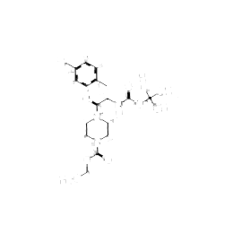 CCOC(=O)N1CCN(C(=O)[C@H](Cc2ccc(I)cc2)NC(=O)OC(C)(C)C)CC1